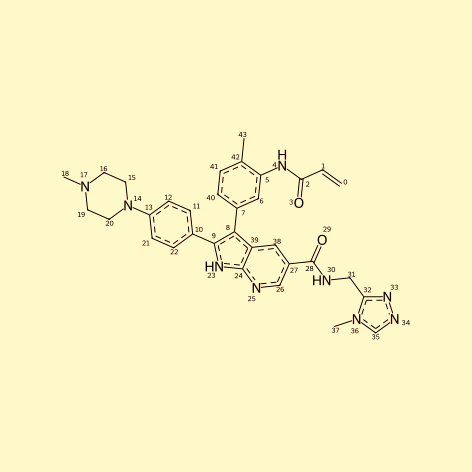 C=CC(=O)Nc1cc(-c2c(-c3ccc(N4CCN(C)CC4)cc3)[nH]c3ncc(C(=O)NCc4nncn4C)cc23)ccc1C